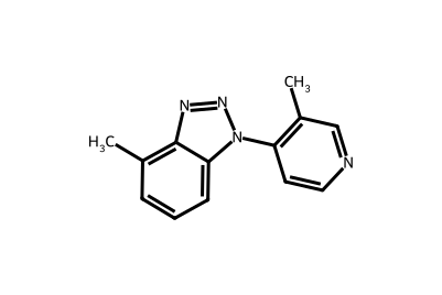 Cc1cnccc1-n1nnc2c(C)cccc21